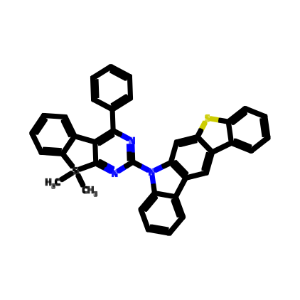 C[Si]1(C)c2ccccc2-c2c(-c3ccccc3)nc(-n3c4ccccc4c4cc5c(cc43)sc3ccccc35)nc21